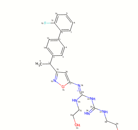 CC(c1ccc(-c2ccccc2F)cc1)c1cc(/N=C(\NCCO)NC(=N)NCCO)on1